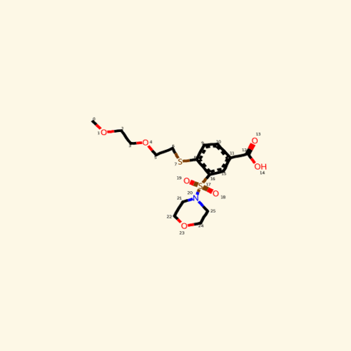 COCCOCCSc1ccc(C(=O)O)cc1S(=O)(=O)N1CCOCC1